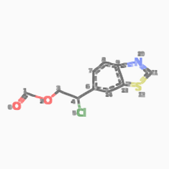 O=COCC(Cl)c1ccc2ncsc2c1